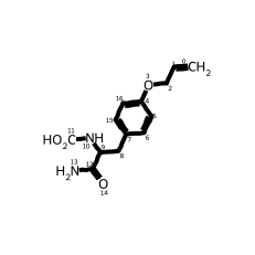 C=CCOc1ccc(CC(NC(=O)O)C(N)=O)cc1